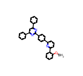 BOc1ccccc1-c1cccc(-c2ccc(-c3nc(-c4ccccc4)cc(-c4ccccc4)n3)cc2)n1